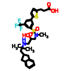 CN(CC(O)CNC(C)(C)CC1Cc2ccccc2C1)S(=O)(=O)c1cc(-c2ccc(CCC(=O)O)s2)cc(C(F)(F)F)c1